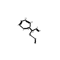 C=CCC(C=C)c1ccccc1